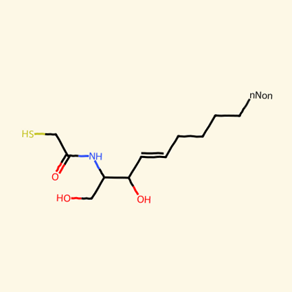 CCCCCCCCCCCCCC=CC(O)C(CO)NC(=O)CS